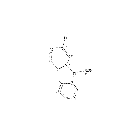 CCCCC(c1ccccc1)N1C=C(CC)C=CC1